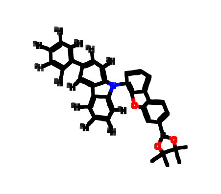 [2H]c1c([2H])c([2H])c(-c2c([2H])c([2H])c3c(c2[2H])c2c([2H])c([2H])c([2H])c([2H])c2n3-c2cccc3c2oc2cc(B4OC(C)(C)C(C)(C)O4)ccc23)c([2H])c1[2H]